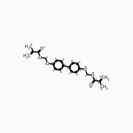 C=C(C)C(=O)OCOc1ccc(-c2ccc(OCOC(=O)C(=C)C)cc2)cc1